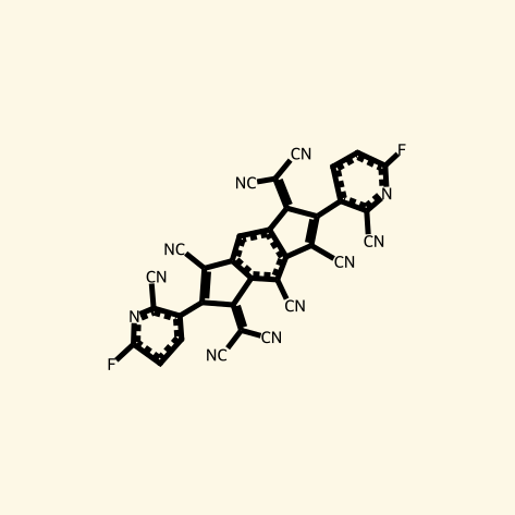 N#CC(C#N)=C1C(c2ccc(F)nc2C#N)=C(C#N)c2c1cc1c(c2C#N)C(=C(C#N)C#N)C(c2ccc(F)nc2C#N)=C1C#N